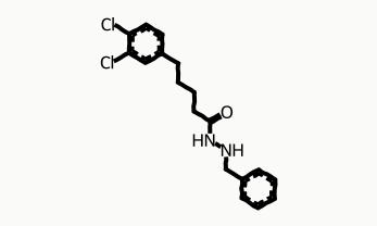 O=C(CCCCc1ccc(Cl)c(Cl)c1)NNCc1ccccc1